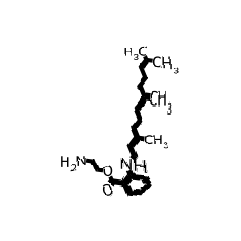 CC(C)=CCC/C(C)=C/CC/C(C)=C/CNc1ccccc1C(=O)OCCN